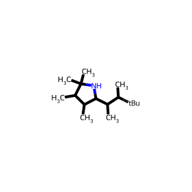 CC(C1NC(C)(C)C(C)C1C)C(C)C(C)(C)C